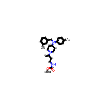 CC(=O)c1ccc(N(Cc2cccc(C#N)c2)C2CCN(C(C)CCNC(=O)OC(C)(C)C)CC2)cc1